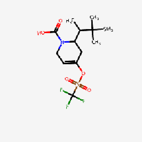 CC(C1CC(OS(=O)(=O)C(F)(F)F)=CCN1C(=O)O)C(C)(C)[SiH3]